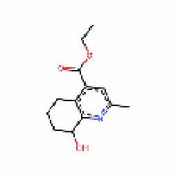 CCOC(=O)c1cc(C)nc2c1CCCC2O